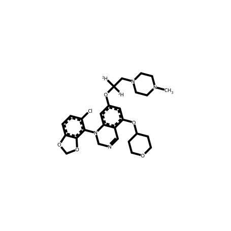 [2H]C([2H])(CN1CCN(C)CC1)Oc1cc(OC2CCOCC2)c2c(c1)N(c1c(Cl)ccc3c1OCO3)CN=C2